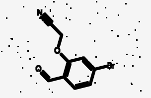 N#CCOc1cc(Br)ccc1C=O